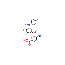 Cc1ccc(N2CCC(C)(C)c3ccc(C(=O)c4cc(C(=O)O)ccc4N)cc32)cc1